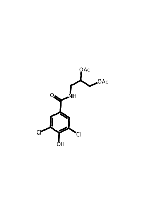 CC(=O)OCC(CNC(=O)c1cc(Cl)c(O)c(Cl)c1)OC(C)=O